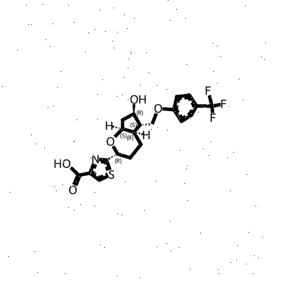 O=C(O)c1csc([C@H]2CC[C@@H]3[C@@H](COc4ccc(C(F)(F)F)cc4)[C@H](O)C[C@@H]3O2)n1